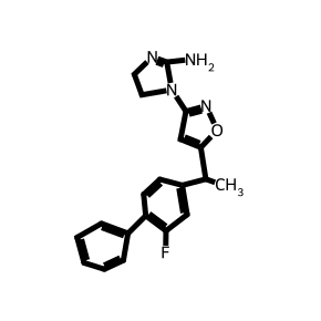 CC(c1ccc(-c2ccccc2)c(F)c1)c1cc(N2CCN=C2N)no1